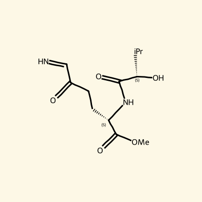 COC(=O)[C@H](CCC(=O)C=N)NC(=O)[C@@H](O)C(C)C